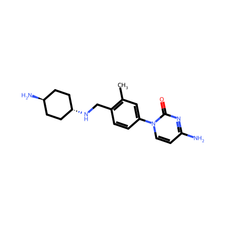 Cc1cc(-n2ccc(N)nc2=O)ccc1CN[C@H]1CC[C@H](N)CC1